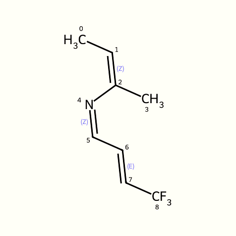 C\C=C(C)/N=C\C=C\C(F)(F)F